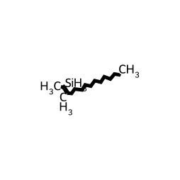 CCCCCCCCCCCCC(C)=C(C)[SiH3]